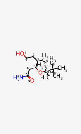 C[C@H](CCO)[C@@H](CC(N)=O)O[Si](C)(C)C(C)(C)C